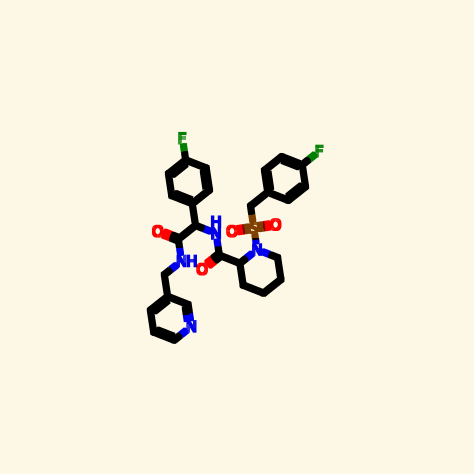 O=C(NCc1cccnc1)C(NC(=O)C1CCCCN1S(=O)(=O)Cc1ccc(F)cc1)c1ccc(F)cc1